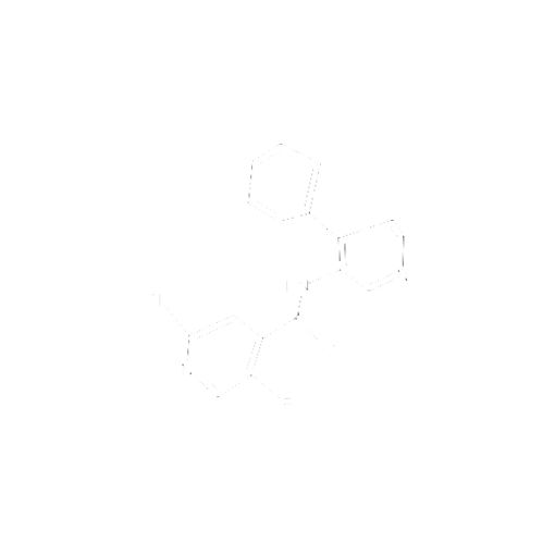 O=C(Nc1cnccc1-c1ccccc1)c1cc(Cl)ncc1F